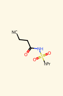 CCCS(=O)(=O)NC(=O)CCC#N